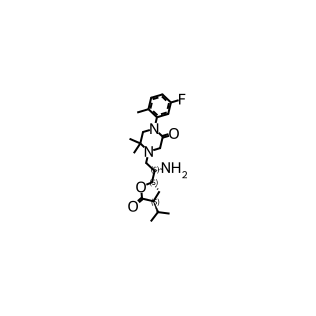 Cc1ccc(F)cc1N1CC(C)(C)N(C[C@H](N)[C@@H]2C[C@@H](C(C)C)C(=O)O2)CC1=O